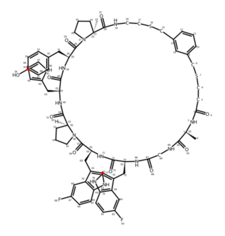 C[C@@H]1NC(=O)CCSCc2cccc(c2)CSCCNC(=O)[C@]2(C)CCCN2C(=O)[C@H](Cc2ccc(O)cc2)NC(=O)[C@H](Cc2cnc[nH]2)NC(=O)[C@@H]2CCCN2C(=O)[C@H](Cc2c[nH]c3ccc(F)cc23)NC(=O)[C@H](Cc2c[nH]c3ccc(F)cc23)NC(=O)CNC1=O